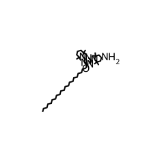 CCCCCCCCCCCCCCCCCCCCOc1nc(N2C(C)(C)CCCC2(C)C)nc(N2C(C)(C)CC(N)CC2(C)C)n1